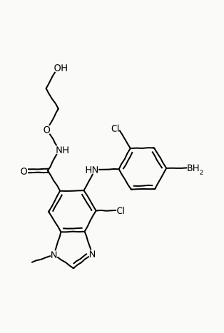 Bc1ccc(Nc2c(C(=O)NOCCO)cc3c(ncn3C)c2Cl)c(Cl)c1